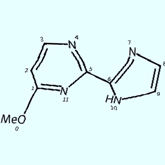 COc1ccnc(-c2ncc[nH]2)n1